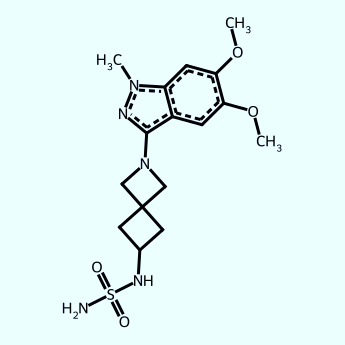 COc1cc2c(N3CC4(CC(NS(N)(=O)=O)C4)C3)nn(C)c2cc1OC